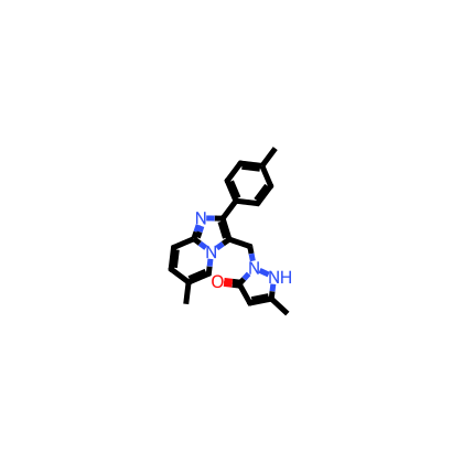 Cc1ccc(-c2nc3ccc(C)cn3c2Cn2[nH]c(C)cc2=O)cc1